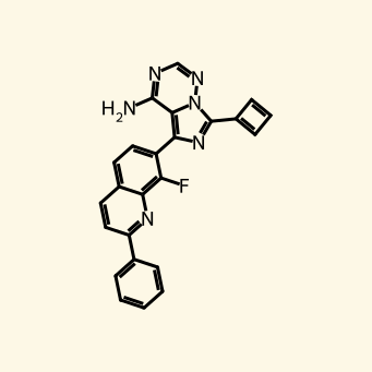 Nc1ncnn2c(C3=CC=C3)nc(-c3ccc4ccc(-c5ccccc5)nc4c3F)c12